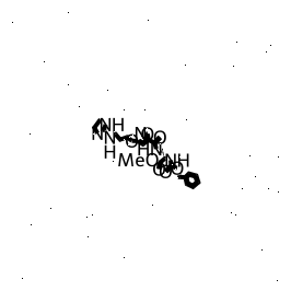 COC(=O)[C@H](CNC(=O)c1cc(OCCCNC2=NCCN2)no1)NC(=O)OCc1ccccc1